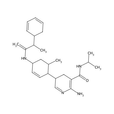 C=C(NC1C=CC(C2C=NC(N)=C(C(=O)NC(C)C)C2)C(C)C1)C(C)C1C=CC=CC1